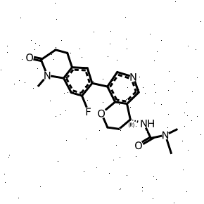 CN(C)C(=O)N[C@@H]1CCOc2c(-c3cc4c(cc3F)N(C)C(=O)CC4)cncc21